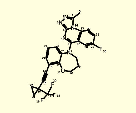 Cc1nnc2nc(N3CCCOc4c(C#CC5(C(F)(F)F)CC5)cccc43)c3cc(F)ccc3n12